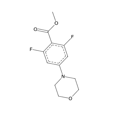 COC(=O)c1c(F)cc(N2CCOCC2)cc1F